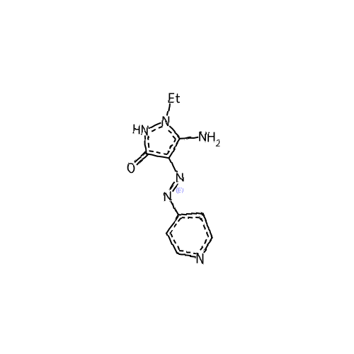 CCn1[nH]c(=O)c(/N=N/c2ccncc2)c1N